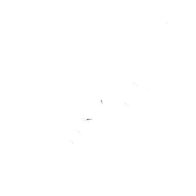 CCOC(=O)/C=C/n1c(=O)c(C)cn([C@@H]2O[C@H](COC(=O)c3ccc(C)cc3)[C@@H](N=[N+]=[N-])[C@H]2OC(C)=O)c1=O